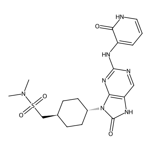 CN(C)S(=O)(=O)C[C@H]1CC[C@H](n2c(=O)[nH]c3cnc(Nc4ccc[nH]c4=O)nc32)CC1